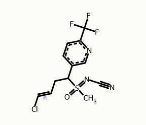 CS(=O)(=NC#N)C(C/C=C/Cl)c1ccc(C(F)(F)F)nc1